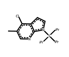 Cc1cnc2c(ccn2S(C(C)C)(C(C)C)C(C)C)c1Cl